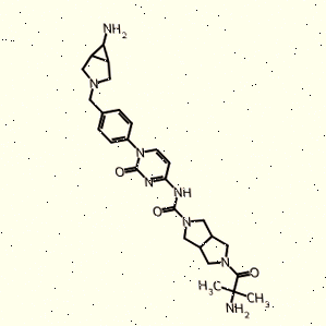 CC(C)(N)C(=O)N1CC2CN(C(=O)Nc3ccn(-c4ccc(CN5CC6C(N)C6C5)cc4)c(=O)n3)CC2C1